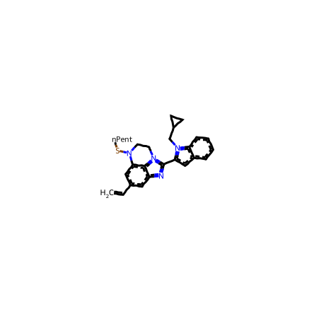 C=Cc1cc2c3c(c1)nc(-c1cc4ccccc4n1CC1CC1)n3CCN2SCCCCC